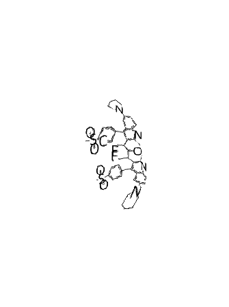 Cc1nc2ccc(N3CCCCC3)cc2c(-c2ccc(S(C)(=O)=O)cc2)c1C(CF)C(=O)C(CF)c1c(C)nc2ccc(N3CCCCC3)cc2c1-c1ccc(S(C)(=O)=O)cc1